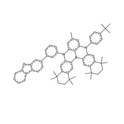 Cc1cc2c3c(c1)N(c1cccc(-c4ccc5c(c4)oc4ccccc45)c1)c1cc4c(cc1B3c1cc3c(cc1N2c1ccc(C(C)(C)C)cc1)C(C)(C)CCC3(C)C)C(C)(C)CCC4(C)C